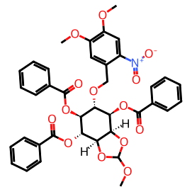 COc1cc(CO[C@@H]2[C@@H](OC(=O)c3ccccc3)[C@H]3OC(OC)O[C@H]3[C@H](OC(=O)c3ccccc3)[C@H]2OC(=O)c2ccccc2)c([N+](=O)[O-])cc1OC